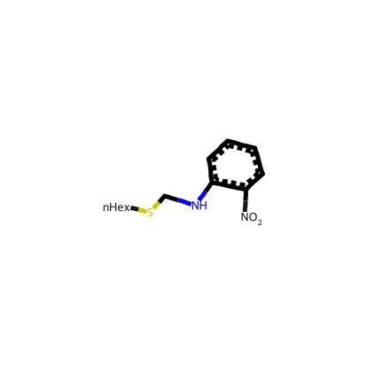 CCCCCCSCNc1ccccc1[N+](=O)[O-]